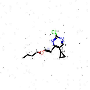 CCCCO/C=C/c1nc(Cl)ncc1C1CC1